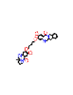 COc1cc2c(cc1OCCCCCOc1cc3c(cc1OC)C(=O)N1CCC[C@H]1C=N3)N=CC1Cc3ccccc3CN1C2=O